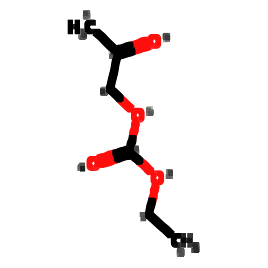 CCOC(=O)OCC(C)=O